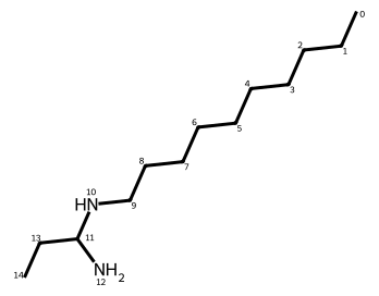 CCCCCCCCCCNC(N)CC